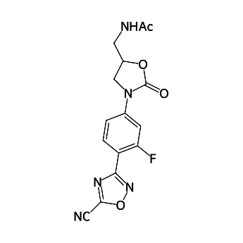 CC(=O)NCC1CN(c2ccc(-c3noc(C#N)n3)c(F)c2)C(=O)O1